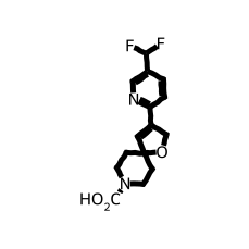 O=C(O)N1CCC2(C=C(c3ccc(C(F)F)cn3)CO2)CC1